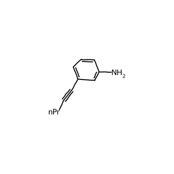 CCCC#Cc1cccc(N)c1